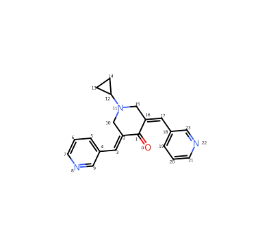 O=C1C(=Cc2cccnc2)CN(C2CC2)CC1=Cc1cccnc1